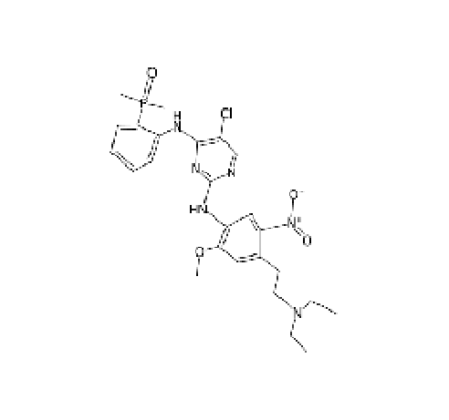 CCN(CC)CCc1cc(OC)c(Nc2ncc(Cl)c(Nc3ccccc3P(C)(C)=O)n2)cc1[N+](=O)[O-]